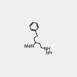 CCCNCCC(CSc1ccccc1)NC